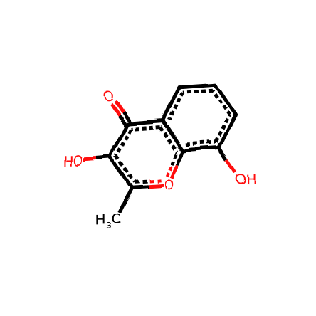 Cc1oc2c(O)cccc2c(=O)c1O